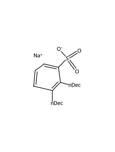 CCCCCCCCCCc1cccc(S(=O)(=O)[O-])c1CCCCCCCCCC.[Na+]